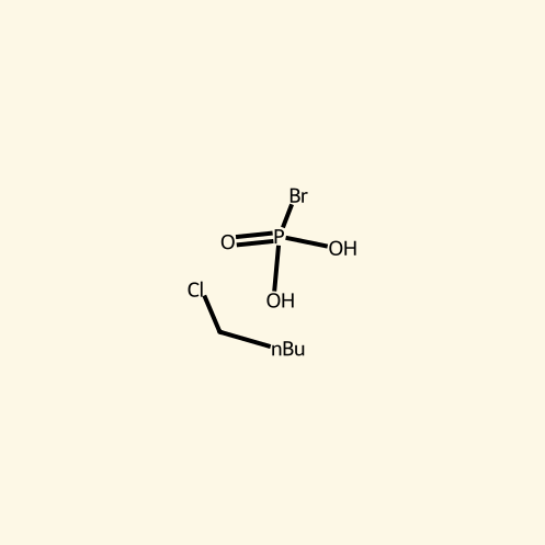 CCCCCCl.O=P(O)(O)Br